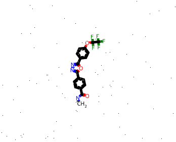 C=NC(=O)c1ccc(-c2nnc(-c3ccc(OC(F)(F)C(F)(F)F)cc3)o2)cc1